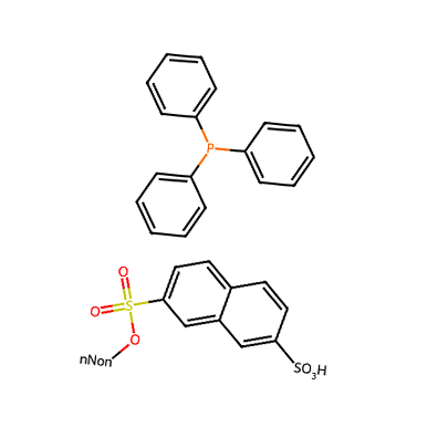 CCCCCCCCCOS(=O)(=O)c1ccc2ccc(S(=O)(=O)O)cc2c1.c1ccc(P(c2ccccc2)c2ccccc2)cc1